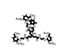 CC(=O)NC1[C@H](OCCNC(=O)CCC(CCC(=O)NCCO[C@@H]2OC(COC(C)=O)[C@H](C)[C@H](C)C2NC(C)=O)(CCC(=O)NCCO[C@@H]2OC(COC(C)=O)[C@H](C)[C@H](C)C2NC(C)=O)NC(=O)CC(=O)Oc2c(F)c(F)c(F)c(F)c2F)OC(COC(C)=O)[C@H](C)[C@@H]1C